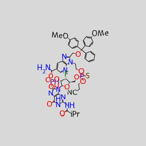 COc1ccc(C(OCc2nc3cc(C(N)=O)cnc3n2CCOP(=S)(OCCC#N)OC[C@H]2O[C@@H](n3cnc4c(=O)[nH]c(NC(=O)C(C)C)nc43)[C@H](O[PH](=O)O)[C@@H]2F)(c2ccccc2)c2ccc(OC)cc2)cc1